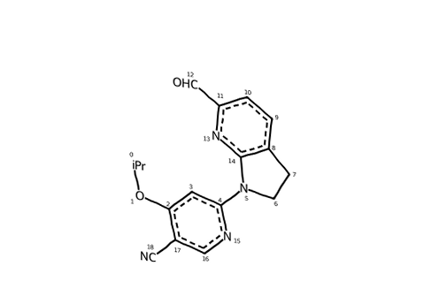 CC(C)Oc1cc(N2CCc3ccc(C=O)nc32)ncc1C#N